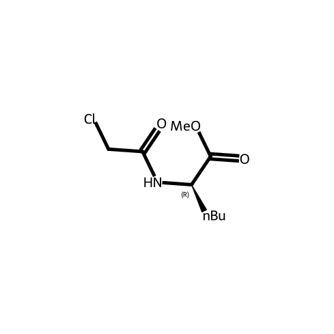 CCCC[C@@H](NC(=O)CCl)C(=O)OC